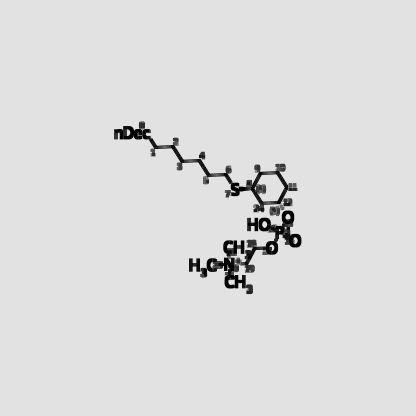 CCCCCCCCCCCCCCCCS[C@H]1CCC[C@H](OP(=O)(O)OCC[N+](C)(C)C)C1